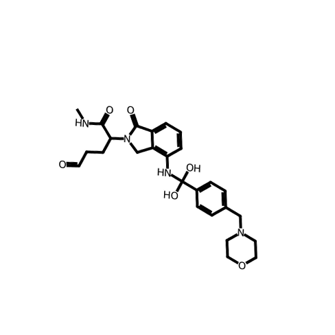 CNC(=O)C(CCC=O)N1Cc2c(NC(O)(O)c3ccc(CN4CCOCC4)cc3)cccc2C1=O